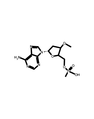 COC1C[C@@H](n2cnc3c(N)ncnc32)OC1COP(C)(=O)O